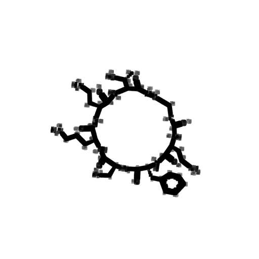 CC(C)C[C@@H]1NC(=O)[C@@H](Cc2ccccc2)NC(=O)[C@H](CCN)NC(=O)CCCNC(=O)C([C@@H](C)O)NC(=O)[C@H](CCN)NC(=O)[C@H](CCCN)NC1=O